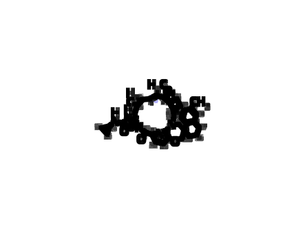 CO[C@H]1/C=C/C[C@H](C)C[S@@](=O)(NC(=O)NC2CC2)=NC(=O)c2ccc3c(n2)N(C[C@@H]2CC[C@H]21)C[C@@]1(CCCc2cc(C)ccc21)CO3